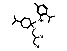 CC(C)C1CCC(C)(OCC(O)CO)CC1.Cc1ccc(C(C)C)c(O)c1